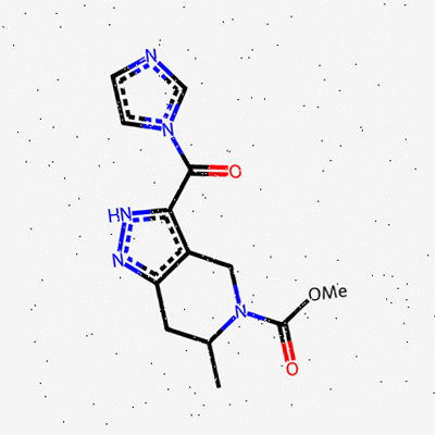 COC(=O)N1Cc2c(n[nH]c2C(=O)n2ccnc2)CC1C